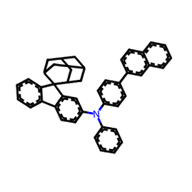 c1ccc(N(c2ccc(-c3ccc4ccccc4c3)cc2)c2ccc3c(c2)C2(c4ccccc4-3)C3CC4CC(C3)CC2C4)cc1